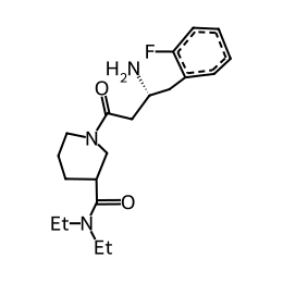 CCN(CC)C(=O)C1CCCN(C(=O)C[C@H](N)Cc2ccccc2F)C1